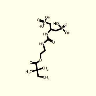 CCC(C)(C)C(=O)OCCNC(=O)NC(CP(=O)(O)O)CP(=O)(O)O